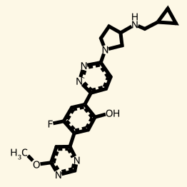 COc1cc(-c2cc(O)c(-c3ccc(N4CCC(NCC5CC5)C4)nn3)cc2F)ncn1